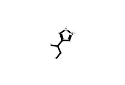 CCC(C)c1cnoc1